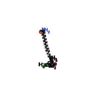 C=[N+](C)C.CCCCCCCCCCCCCCCCCC(N)=O.CCCN1CCCC1=O.[Cl-]